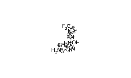 Cn1ncc(NC(O)c2csc(-c3cccc(C(F)(F)F)n3)n2)c1[C@@H]1CC[C@@H](N)[C@H](F)CO1